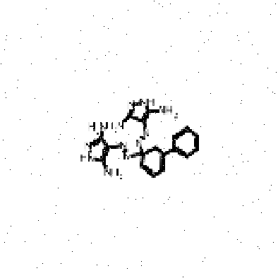 Nc1n[nH]c(N)c1/N=N/C1(/N=N/c2c(N)n[nH]c2N)C=CC=C(c2ccccc2)C1